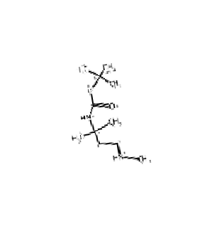 CNCCC(C)(C)NC(=O)OC(C)(C)C